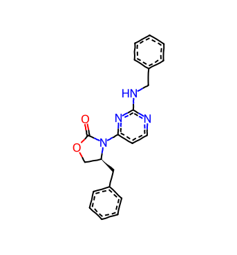 O=C1OC[C@H](Cc2ccccc2)N1c1ccnc(NCc2ccccc2)n1